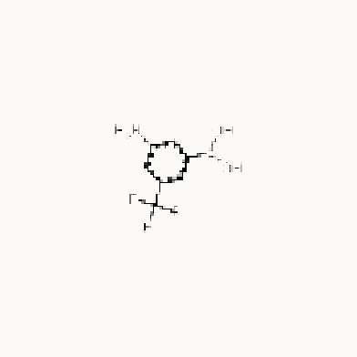 Nc1cc(B(O)O)cc(C(F)(F)F)c1